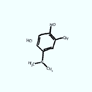 CN(C)c1ccc(N=O)c(O)c1.Cl